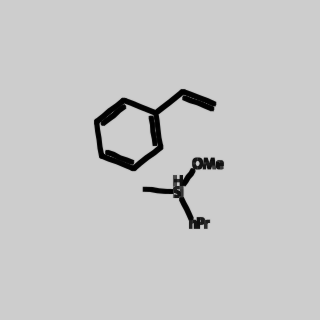 C=Cc1ccccc1.CCC[SiH](C)OC